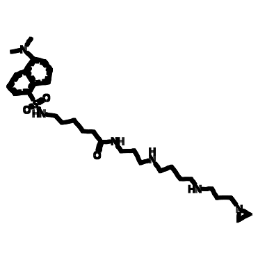 CN(C)c1cccc2c(S(=O)(=O)NCCCCCC(=O)NCCCNCCCCNCCCN3CC3)cccc12